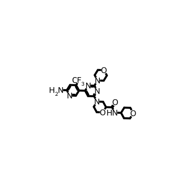 Nc1cc(C(F)(F)F)c(-c2cc(N3CCOC(C(=O)NC4CCOCC4)C3)nc(N3CCOCC3)n2)cn1